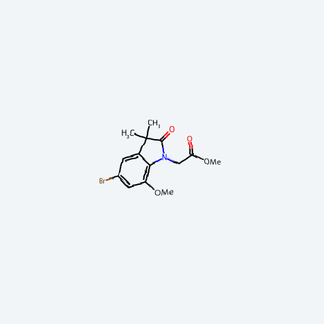 COC(=O)CN1C(=O)C(C)(C)c2cc(Br)cc(OC)c21